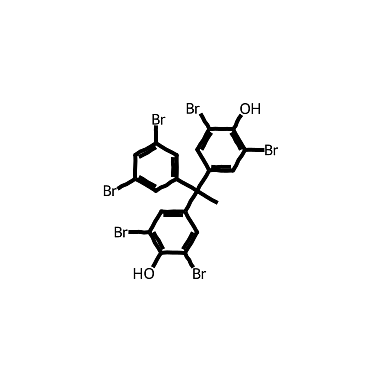 CC(c1cc(Br)cc(Br)c1)(c1cc(Br)c(O)c(Br)c1)c1cc(Br)c(O)c(Br)c1